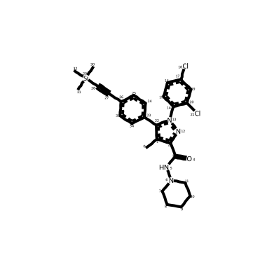 Cc1c(C(=O)NN2CCCCC2)nn(-c2ccc(Cl)cc2Cl)c1-c1ccc(C#C[Si](C)(C)C)cc1